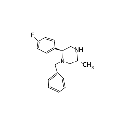 C[C@@H]1CN(Cc2ccccc2)[C@@H](c2ccc(F)cc2)CN1